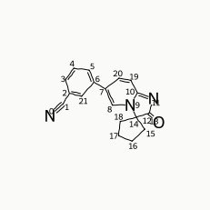 N#Cc1cccc(C2=CN3C(=NC(=O)C34CCCC4)C=C2)c1